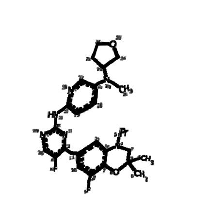 CC(C)N1CC(C)(C)Oc2c(F)cc(-c3nc(Nc4ccc(N(C)C5CCOC5)cn4)ncc3F)cc21